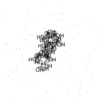 O=P(O)(O)OC1C(OP(=O)(O)O)C(OP(=O)(O)O)C(OP(=O)(O)O)C(OP(=O)(O)O)C1OP(=O)(O)O.O=P(O)(O)OP(=O)(O)OP(=O)(O)OP(=O)(O)OP(=O)(O)OC[C@H](O)[C@@H](O)[C@H](O)CO